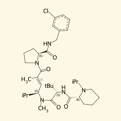 C/C(=C\[C@H](C(C)C)N(C)C(=O)[C@@H](NC(=O)[C@H]1CCCCN1C(C)C)C(C)(C)C)C(=O)N1CCC[C@H]1C(=O)NCc1cccc(Cl)c1